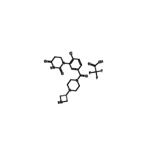 O=C(O)C(F)(F)F.O=C1CCN(c2cc(C(=O)N3CCN(C4CNC4)CC3)ccc2Cl)C(=O)N1